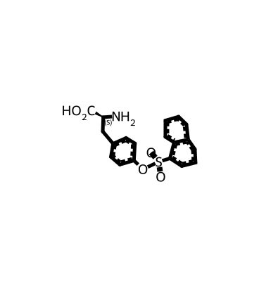 N[C@@H](Cc1ccc(OS(=O)(=O)c2cccc3ccccc23)cc1)C(=O)O